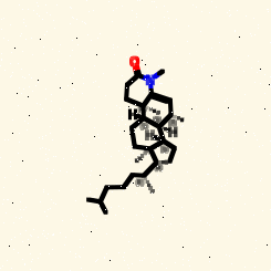 CC(C)CCC[C@@H](C)[C@H]1CC[C@H]2[C@@H]3[C@@H](C)C=C4N(C)C(=O)CC[C@]4(C)[C@H]3CC[C@]12C